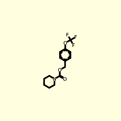 O=C(OCc1ccc(OC(F)(F)F)cc1)N1CCCCC1